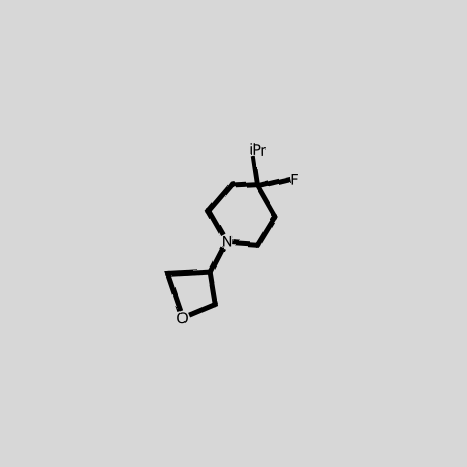 CC(C)C1(F)CCN(C2COC2)CC1